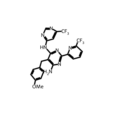 COc1ccc(Cc2c(N)nc(-c3cccc(C(F)(F)F)n3)nc2Nc2cc(C(F)(F)F)ncn2)cc1